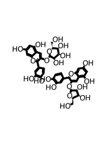 OC[C@H]1OC(Oc2cc3c(O)cc(O)cc3[o+]c2-c2ccc(O)c(O)c2)[C@@H](O)[C@@H]1O.OC[C@H]1OC(Oc2cc3c(O)cc(O)cc3[o+]c2-c2ccc(O)c(O)c2)[C@H](O)[C@@H](O)[C@H]1O